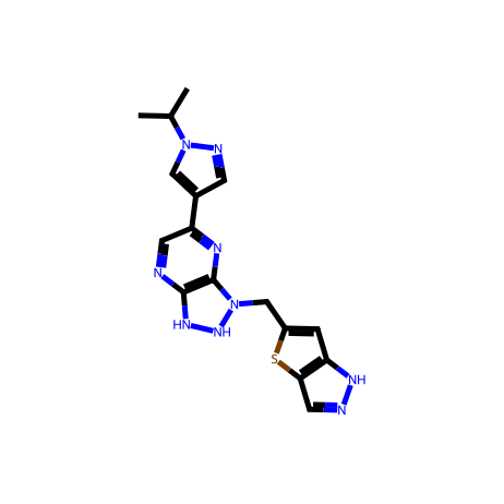 CC(C)n1cc(-c2cnc3c(n2)N(Cc2cc4[nH]ncc4s2)NN3)cn1